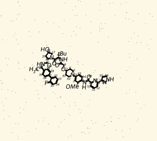 COc1cc(N2CCC(OCC(=O)N[C@H](C(=O)N3C[C@H](O)C[C@H]3C(=O)N[C@@H](C)c3ccc(-c4ccccc4F)cc3)C(C)(C)C)CC2)ccc1NC(=O)c1cccc(-c2cc[nH]n2)n1